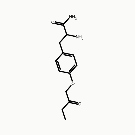 CCC(=O)COc1ccc(CC(N)C(N)=O)cc1